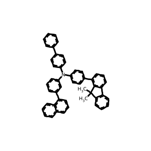 CC1(C)c2ccccc2-c2cccc(-c3ccc(N(c4ccc(-c5ccccc5)cc4)c4cccc(-c5cccc6ccccc56)c4)cc3)c21